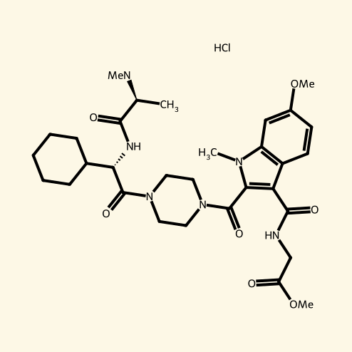 CN[C@@H](C)C(=O)N[C@H](C(=O)N1CCN(C(=O)c2c(C(=O)NCC(=O)OC)c3ccc(OC)cc3n2C)CC1)C1CCCCC1.Cl